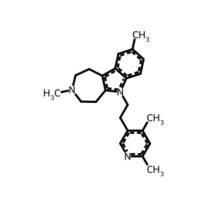 Cc1ccc2c(c1)c1c(n2CCc2cnc(C)cc2C)CCN(C)CC1